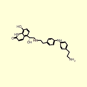 NCCc1ccc(Nc2ccc(CCNC[C@H](O)c3ccc(O)c4[nH]c(=O)ccc34)cc2)cc1